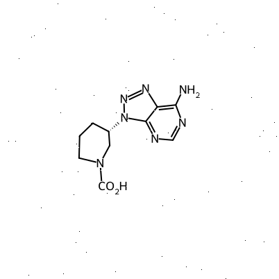 Nc1ncnc2c1nnn2[C@H]1CCCN(C(=O)O)C1